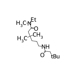 CCN(C)C(=O)CC(C)(C)CCCNC(=O)CC(C)(C)C